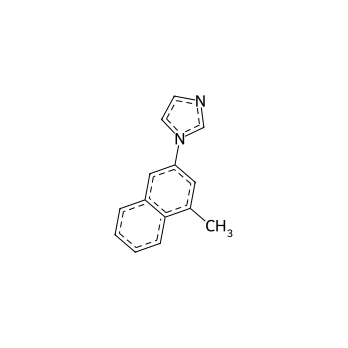 Cc1cc(-n2ccnc2)cc2ccccc12